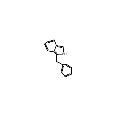 c1ccc(Cc2[nH]cc3ccccc23)cc1